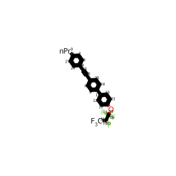 CCCc1ccc(C#Cc2ccc(-c3ccc(OC(F)(F)C(F)C(F)(F)F)cc3)cc2)cc1